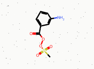 CS(=O)(=O)OOC(=O)c1cccc(N)c1